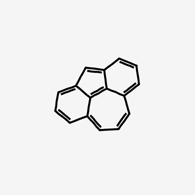 c1cc2cccc3cc4cccc(c1)c4=c23